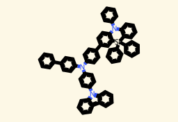 c1ccc(-c2ccc(N(c3ccc(-c4ccc5c(c4)[Si](c4ccccc4)(c4ccccc4)c4ccccc4N5c4ccccc4)cc3)c3ccc(-n4c5ccccc5c5ccccc54)cc3)cc2)cc1